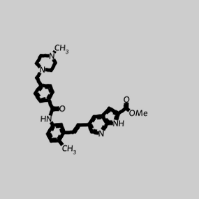 COC(=O)c1cc2cc(/C=C/c3cc(NC(=O)c4ccc(CN5CCN(C)CC5)cc4)ccc3C)cnc2[nH]1